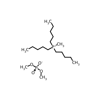 CCCCC[P+](C)(CCCCC)CCCCC.COP(=O)([O-])OC